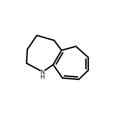 C1=CCC2=C(C=C1)NCCCC2